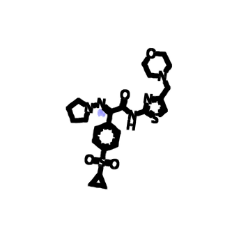 O=C(Nc1nc(CN2CCOCC2)cs1)/C(=N/N1CCCC1)c1ccc(S(=O)(=O)C2CC2)cc1